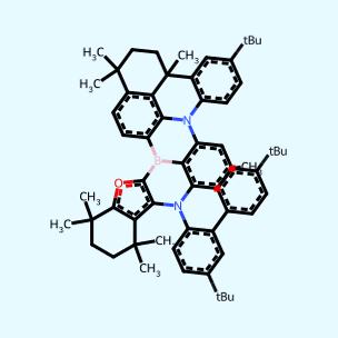 Cc1cc2c3c(c1)N1c4ccc(C(C)(C)C)cc4C4(C)CCC(C)(C)c5ccc(c1c54)B3c1oc3c(c1N2c1ccc(C(C)(C)C)cc1-c1ccc(C(C)(C)C)cc1)C(C)(C)CCC3(C)C